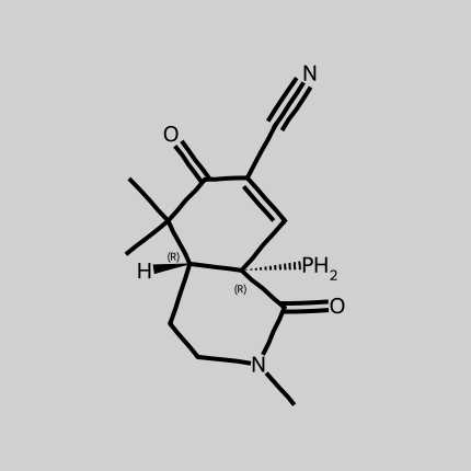 CN1CC[C@@H]2C(C)(C)C(=O)C(C#N)=C[C@@]2(P)C1=O